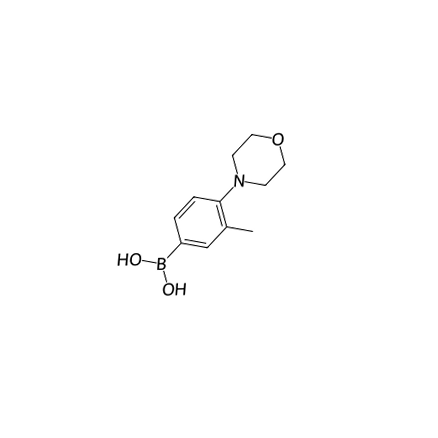 Cc1cc(B(O)O)ccc1N1CCOCC1